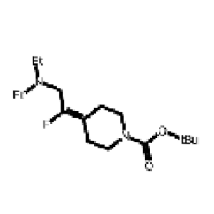 CCN(CC)CC(F)=C1CCN(C(=O)OC(C)(C)C)CC1